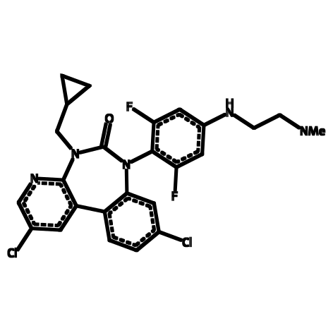 CNCCNc1cc(F)c(N2C(=O)N(CC3CC3)c3ncc(Cl)cc3-c3ccc(Cl)cc32)c(F)c1